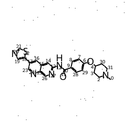 CN1CCC(Oc2ccc(C(=O)Nc3cc4cc(-c5cncs5)cnc4cn3)cc2)CC1